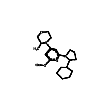 CC1COCCN1c1cc(OC(C)(C)C)nc(N2CCCC2C2CCCCC2)c1